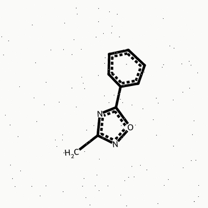 [CH2]c1noc(-c2ccccc2)n1